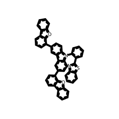 c1ccc(-n2c3ccc(-c4cccc5c4oc4ccccc45)cc3c3cc(-c4cccc5c4oc4ccccc45)ccc32)c(-c2nc3ccccc3s2)c1